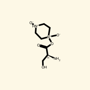 N[C@@H](CO)C(=O)O[N+]1([O-])CC[NH+]([O-])CC1